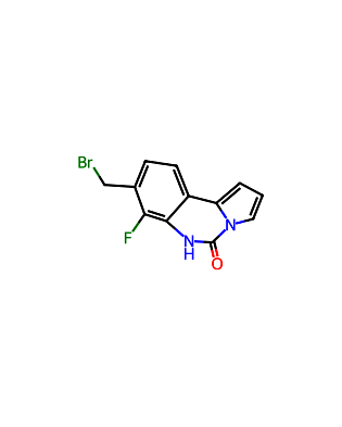 O=c1[nH]c2c(F)c(CBr)ccc2c2cccn12